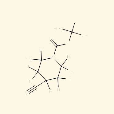 [2H]C1([2H])N(C(=O)OC(C)(C)C)C([2H])([2H])C([2H])([2H])C([2H])(C#N)C1([2H])[2H]